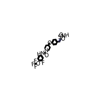 O=C(Nc1ccc(OC(F)(F)F)c(F)c1)N1CCC(Oc2ccc(/C=C3/ONOS3)cc2)CC1